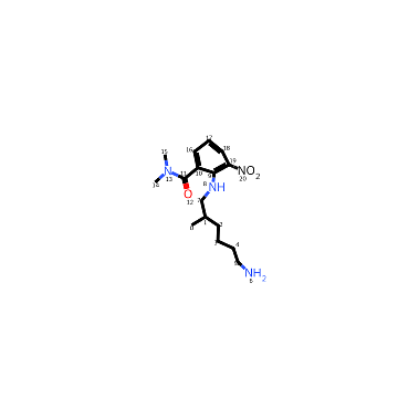 CC(CCC[CH]N)CNc1c(C(=O)N(C)C)cccc1[N+](=O)[O-]